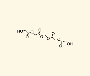 O=C(CO)OCC(=O)OCOC(=O)COC(=O)CO